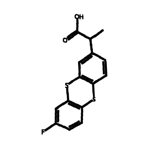 CC(C(=O)O)c1ccc2c(c1)Sc1cc(F)ccc1S2